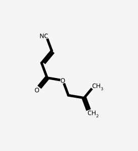 C=C(C)COC(=O)C=CC#N